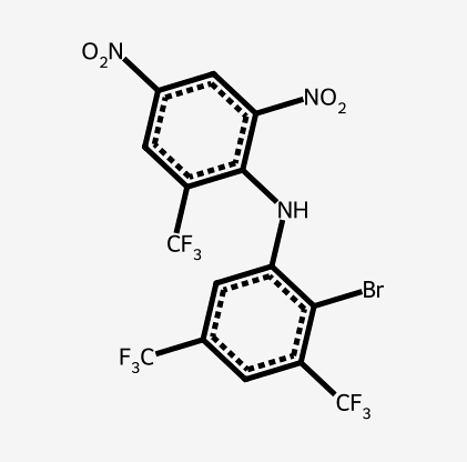 O=[N+]([O-])c1cc([N+](=O)[O-])c(Nc2cc(C(F)(F)F)cc(C(F)(F)F)c2Br)c(C(F)(F)F)c1